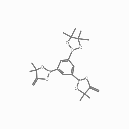 C=C1OB(c2cc(B3OC(=C)C(C)(C)O3)cc(B3OC(C)(C)C(C)(C)O3)c2)OC1(C)C